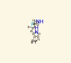 CC(C)CC1CNC(CC(C)CC2(F)CNC2)C1